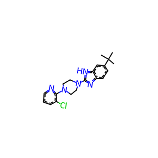 CC(C)(C)c1ccc2nc(N3CCN(c4ncccc4Cl)CC3)[nH]c2c1